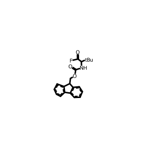 CC(C)(C)C(NC(=O)OCC1c2ccccc2-c2ccccc21)C(=O)F